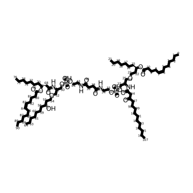 CCCCCC/C=C\CCCC(=O)O[C@H](CCCCCCC)CCOCC(COP(=O)(O)OCCNC(=O)CCC(=O)NCCOP(=O)(O)OCC(COCC[C@H](O)CCCCCCC)NC(=O)C[C@@H](CCCCCCC)OC(=O)CCC/C=C\CCCCCC)NC(=O)CC(=O)CCCCCCCCCCC